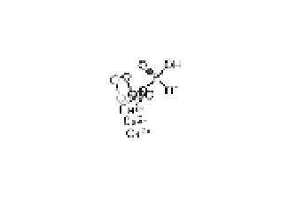 O=C([O-])[O-].O=C([O-])[O-].O=P([O-])([O-])O.[Ca+2].[Ca+2].[Ca+2]